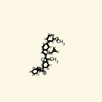 COc1cc(-c2ccc3cc(-c4oc5cc(C(=O)N6CC7CCC6[C@@H]7N)ccc5c4C)n(CC4CC4)c3c2)ccn1